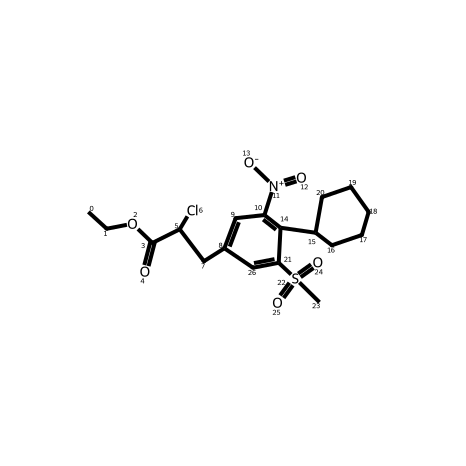 CCOC(=O)C(Cl)Cc1cc([N+](=O)[O-])c(C2CCCCC2)c(S(C)(=O)=O)c1